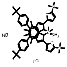 Cc1cc2c(c(-c3ccc(C(C)(C)C)cc3)c1C)C=C(c1ccc([Si](C)(C)C)o1)[CH]2[Zr]([CH3])([CH3])(=[SiH2])[CH]1C(c2ccc([Si](C)(C)C)o2)=Cc2c1cc(C)c(C)c2-c1ccc(C(C)(C)C)cc1.Cl.Cl